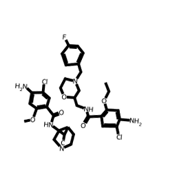 CCOc1cc(N)c(Cl)cc1C(=O)NCC1CN(Cc2ccc(F)cc2)CCO1.COc1cc(N)c(Cl)cc1C(=O)NC1CN2CCC1CC2